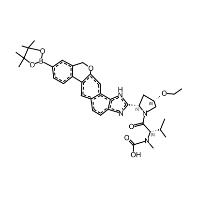 CCO[C@H]1C[C@@H](c2nc3ccc4cc5c(cc4c3[nH]2)OCc2cc(B3OC(C)(C)C(C)(C)O3)ccc2-5)N(C(=O)[C@H](C(C)C)N(C)C(=O)O)C1